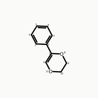 [C]1=C(c2ccccc2)OCCO1